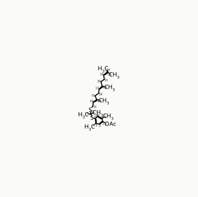 CC(=O)Oc1cc(C)c(SC(C)(C)SC/C=C(\C)CC/C=C(\C)CCC=C(C)C)cc1C